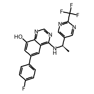 C[C@@H](Nc1ncnc2c(O)cc(-c3ccc(F)cc3)cc12)c1cnc(C(F)(F)F)nc1